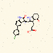 O=C(O)CCc1c(/C=C2\C(=O)Nc3ccc(-c4ccc(F)cc4)cc32)[nH]c2c1C(=O)CCC2